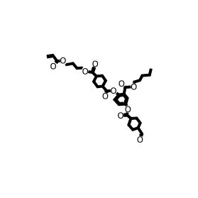 C=CC(=O)OCCCCOC(=O)C1CCC(C(=O)Oc2ccc(OC(=O)C3CCC(C=O)CC3)cc2C(=O)OCCCCC)CC1